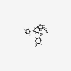 Cc1ccc(Sc2cc(-c3cnn(C)c3)cn3ncc(C#N)c23)nc1